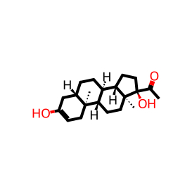 CC(=O)[C@@]1(O)CC[C@H]2[C@@H]3CC[C@H]4CC(O)=CC[C@]4(C)[C@H]3CC[C@@]21C